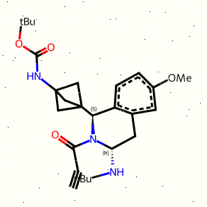 C#CC(=O)N1[C@@H](NCCCC)Cc2cc(OC)ccc2[C@@H]1C12CC(NC(=O)OC(C)(C)C)(C1)C2